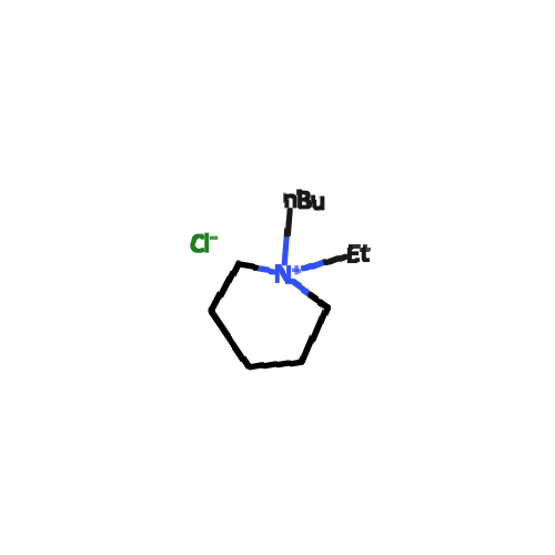 CCCC[N+]1(CC)CCCCC1.[Cl-]